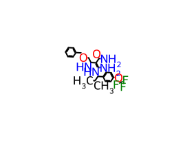 CC(C)C(N/C(N)=C(\C(=N)COCc1ccccc1)C(N)=O)c1ccc(OC(F)(F)F)cc1